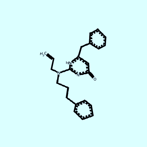 C=CCN(CCCc1ccccc1)c1nc(=O)cc(Cc2ccccc2)[nH]1